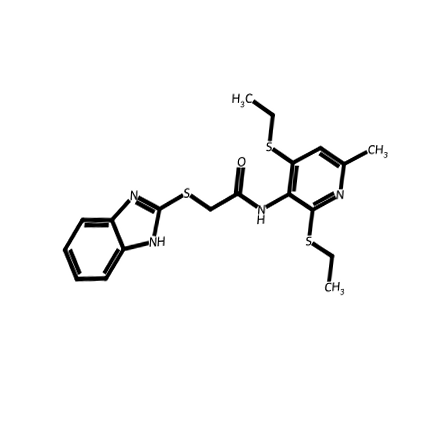 CCSc1cc(C)nc(SCC)c1NC(=O)CSc1nc2ccccc2[nH]1